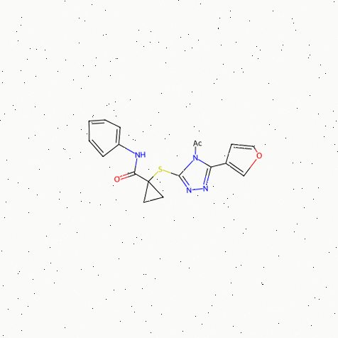 CC(=O)n1c(SC2(C(=O)Nc3ccccc3)CC2)nnc1-c1ccoc1